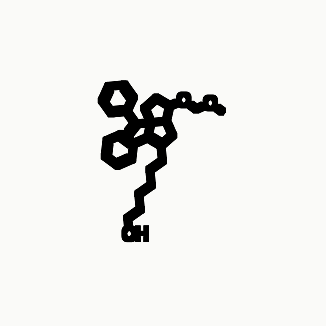 C=C(c1ccccc1)C12CCC(OCOC)C1CC(CCCCCCO)=C2c1ccccc1